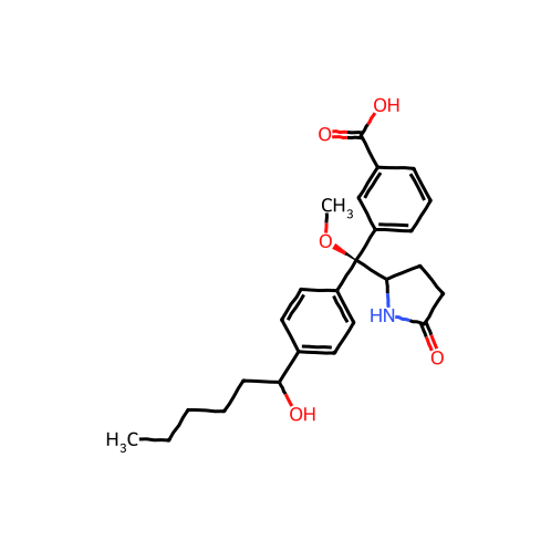 CCCCCC(O)c1ccc([C@](OC)(c2cccc(C(=O)O)c2)C2CCC(=O)N2)cc1